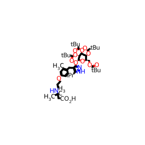 Cc1cc(OCCCNC(C)(C)CC(=O)O)ccc1Cc1c(O[C@@H]2O[C@H](COC(=O)C(C)(C)C)[C@@H](OC(=O)C(C)(C)C)[C@H](OC(=O)C(C)(C)C)[C@H]2OC(=O)C(C)(C)C)n[nH]c1C(C)C